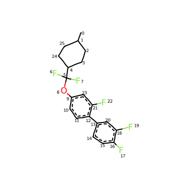 CC1CCC(C(F)(F)Oc2ccc(-c3ccc(F)c(F)c3)c(F)c2)CC1